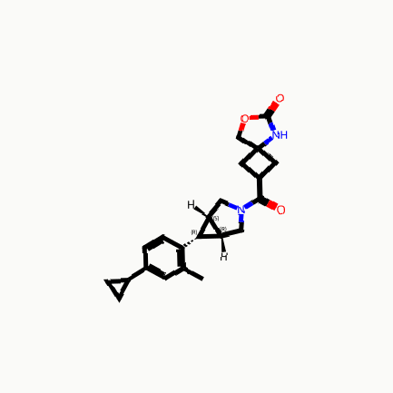 Cc1cc(C2CC2)ccc1[C@@H]1[C@@H]2CN(C(=O)C3CC4(COC(=O)N4)C3)C[C@@H]21